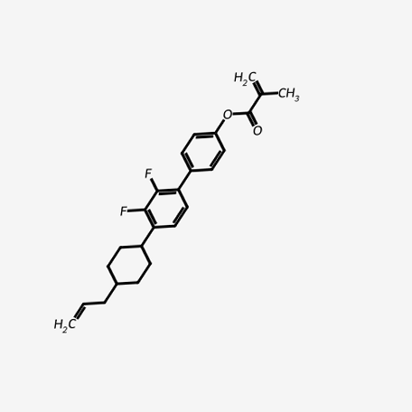 C=CCC1CCC(c2ccc(-c3ccc(OC(=O)C(=C)C)cc3)c(F)c2F)CC1